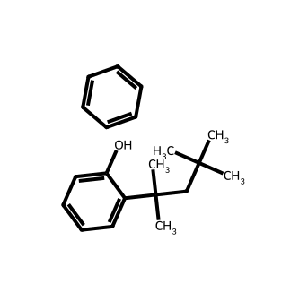 CC(C)(C)CC(C)(C)c1ccccc1O.c1ccccc1